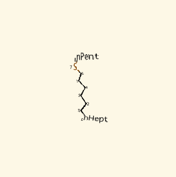 CCCCCCCCCCCC[CH]SCCCCC